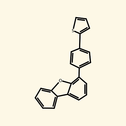 c1csc(-c2ccc(-c3cccc4c3oc3ccccc34)cc2)c1